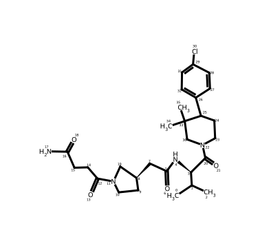 CC(C)[C@@H](NC(=O)C[C@H]1CCN(C(=O)CCC(N)=O)C1)C(=O)N1CCC(c2ccc(Cl)cc2)C(C)(C)C1